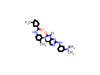 CCN1C(=O)N(c2cc(NC(=O)c3cccc(C(F)(F)F)c3)ccc2C)Cc2cnc(Nc3cccc(N(C)C)c3)nc21